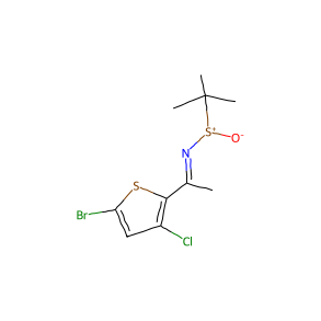 CC(=N[S+]([O-])C(C)(C)C)c1sc(Br)cc1Cl